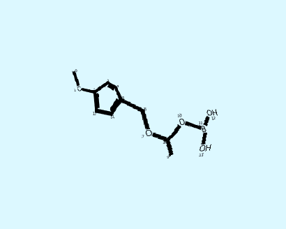 COc1ccc(COC(C)OB(O)O)cc1